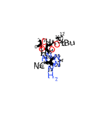 CC1(C)O[C@@H]2[C@H](O1)[C@@H](CO[Si](C)(C)C(C)(C)C)O[C@H]2n1nc(C#N)c2c(N)ncnc21